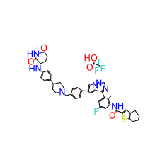 Cc1c(NC(=O)c2cc3c(s2)CCCC3)cc(F)cc1-c1ncnn2cc(-c3ccc(CN4CCC(c5ccc(NC6CCC(=O)NC6=O)cc5)CC4)cc3)cc12.O=C(O)C(F)(F)F